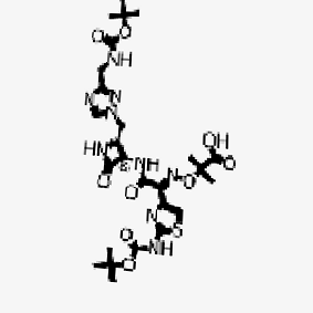 CC(C)(C)OC(=O)NCc1ncn(C[C@@H]2NC(=O)[C@H]2NC(=O)C(=NOC(C)(C)C(=O)O)c2csc(NC(=O)OC(C)(C)C)n2)n1